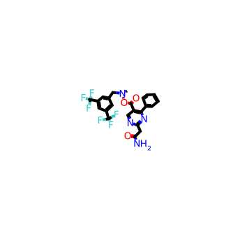 CN(Cc1cc(C(F)(F)F)cc(C(F)(F)F)c1)OC(=O)c1cnc(CC(N)=O)nc1-c1ccccc1